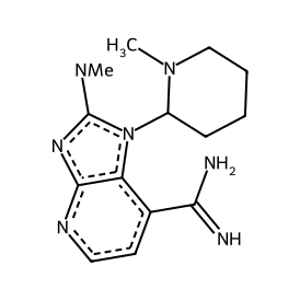 CNc1nc2nccc(C(=N)N)c2n1C1CCCCN1C